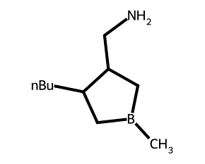 CCCCC1CB(C)CC1CN